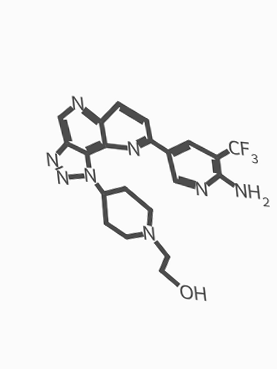 Nc1ncc(-c2ccc3ncc4nnn(C5CCN(CCO)CC5)c4c3n2)cc1C(F)(F)F